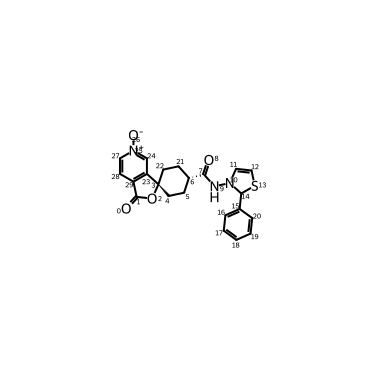 O=C1O[C@]2(CC[C@@H](C(=O)NN3C=CSC3c3ccccc3)CC2)c2c[n+]([O-])ccc21